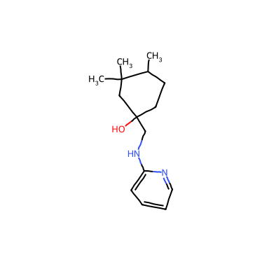 CC1CCC(O)(CNc2ccccn2)CC1(C)C